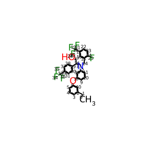 CCc1cccc(Oc2cccc(N(Cc3cc(C(F)(F)F)ccc3F)C(CO)c3ccc(C(F)(F)F)cc3)c2)c1